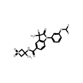 CC1(NC(=O)c2ccc3c(c2)C(C)(F)C(=O)N3c2cccc(OC(F)F)c2)CS(=O)(=O)C1